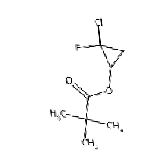 CC(C)(C)C(=O)OC1CC1(F)Cl